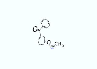 C/C=C\Oc1cccc(C(=O)c2ccccc2)c1